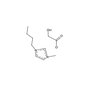 CCCC[n+]1ccn(C)c1.O=C([O-])CO